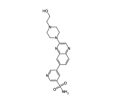 NS(=O)(=O)c1cncc(-c2ccc3ncc(N4CCN(CCO)CC4)nc3c2)c1